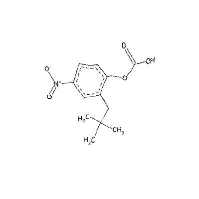 CC(C)(C)Cc1cc([N+](=O)[O-])ccc1OC(=O)O